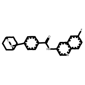 O=C(Nc1cnc2ccc(F)cc2c1)c1ccc(N2CC3CCC2CC3)cc1